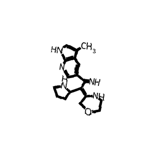 Cc1c[nH]c2ncc(C(=N)/C(=C3/COCCN3)C3CCCN3)cc12